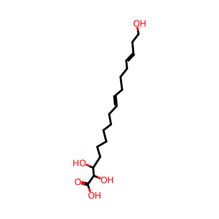 O=C(O)C(O)C(O)CCCCCCC=CCCCC=CCCO